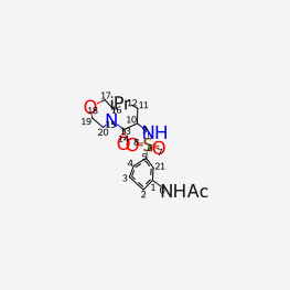 CC(=O)Nc1cccc(S(=O)(=O)NC(CC(C)C)C(=O)N2CCOCC2)c1